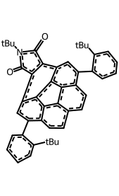 CC(C)(C)c1ccccc1-c1cc2c3c(=O)n(C(C)(C)C)c(=O)c3c3cc(-c4ccccc4C(C)(C)C)c4ccc5ccc1c1c5c4c3c21